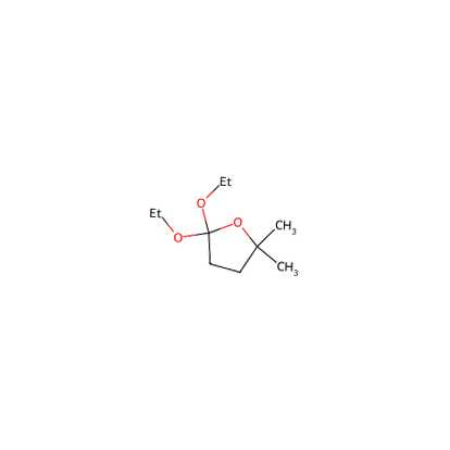 CCOC1(OCC)CCC(C)(C)O1